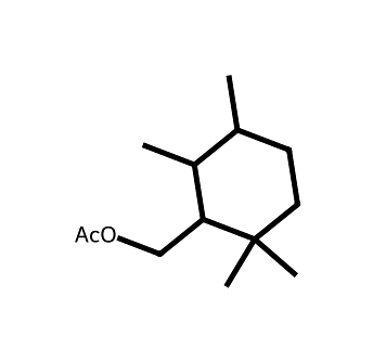 CC(=O)OCC1C(C)C(C)CCC1(C)C